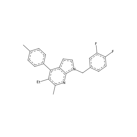 CCc1c(C)nc2c(ccn2Cc2ccc(F)c(F)c2)c1-c1ccc(C)cc1